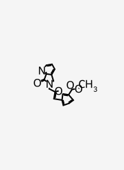 COC(=O)c1cccc2cc(CN3Cc4cccnc4C3=O)oc12